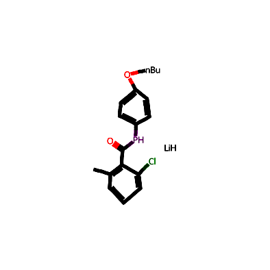 CCCCOc1ccc(PC(=O)c2c(C)cccc2Cl)cc1.[LiH]